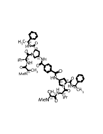 CN[C@@H](C)C(=O)N[C@H](C(=O)N1C[C@@H](NC(=O)c2ccc(C(=O)N[C@H]3C[C@@H](C(=O)N[C@H](C)c4ccccc4)N(C(=O)[C@@H](NC(=O)[C@H](C)NC)C(C)C)C3)cc2)C[C@H]1C(=O)N[C@H](C)c1ccccc1)C(C)C